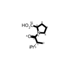 CC(C)[C@@H](C)C(=O)N1CCCC1C(=O)O